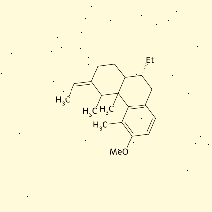 C/C=C1/CCC2[C@H](CC)Cc3ccc(OC)c(C)c3C2(C)C1C